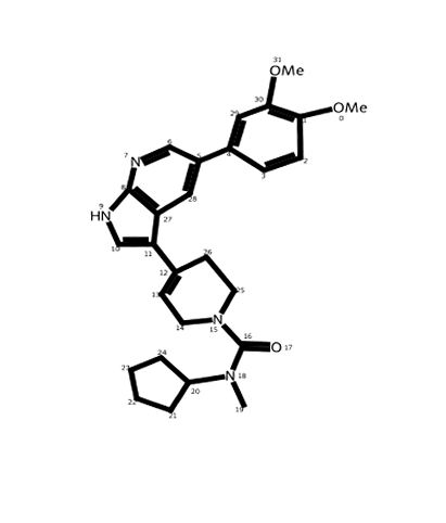 COc1ccc(-c2cnc3[nH]cc(C4=CCN(C(=O)N(C)C5CCCC5)CC4)c3c2)cc1OC